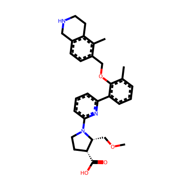 COC[C@@H]1[C@H](C(=O)O)CCN1c1cccc(-c2cccc(C)c2OCc2ccc3c(c2C)CCNC3)n1